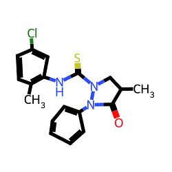 Cc1ccc(Cl)cc1NC(=S)N1CC(C)C(=O)N1c1ccccc1